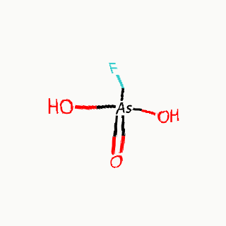 O=[As](O)(O)F